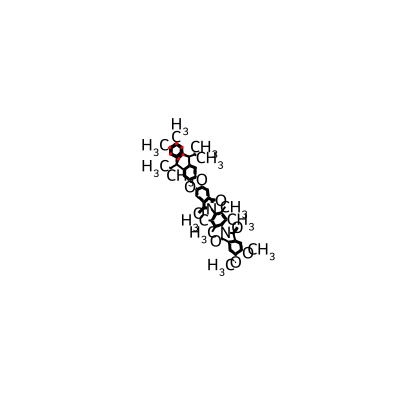 COc1cc2c(cc1OC)C(=O)N(c1c(C)c(C)c(-n3c(=O)c4cc5oc6cc7c(cc6oc5cc4c3=O)C3(C(C)C)c4ccccc4C7(C(C)C)c4cc(C)c(C)cc43)c(C)c1C)C2=O